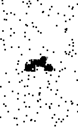 O=[N+]([O-])C=C(NCCCCc1ncccc1Cl)NCCCSc1ccccn1